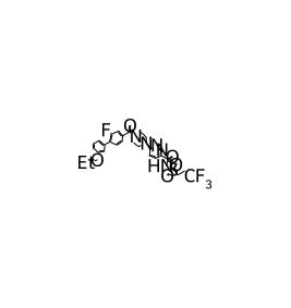 CCOc1cccc(-c2ccc(C(=O)N3CCN(c4ccc(C(=O)NS(=O)(=O)CCC(F)(F)F)nn4)CC3)cc2F)c1